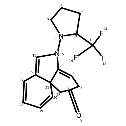 O=C1CC=C2N(N3CCCC3C(F)(F)F)C=C3C=CC=CC32C1